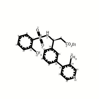 CCOC(=O)C[C@H](NS(=O)(=O)c1ccccc1C(F)(F)F)c1cccc(-c2ccncc2C)c1